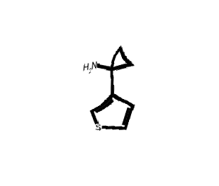 NC1(c2ccsc2)CC1